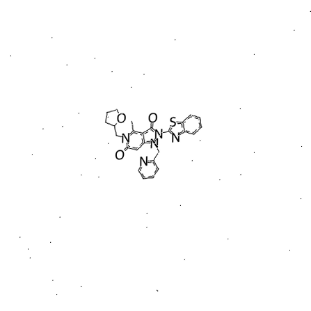 Cc1c2c(=O)n(-c3nc4ccccc4s3)n(Cc3ccccn3)c2cc(=O)n1CC1CCCO1